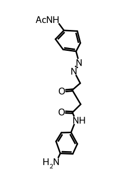 CC(=O)Nc1ccc(N=NCC(=O)CC(=O)Nc2ccc(N)cc2)cc1